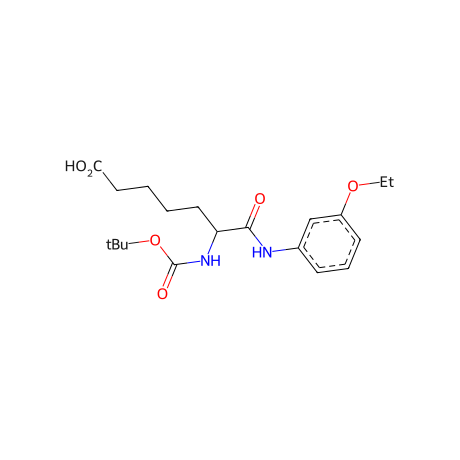 CCOc1cccc(NC(=O)C(CCCCC(=O)O)NC(=O)OC(C)(C)C)c1